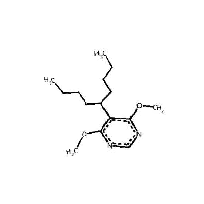 CCCCC(CCCC)c1c(OC)ncnc1OC